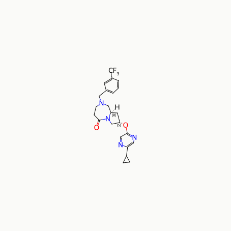 O=C1CCN(Cc2cccc(C(F)(F)F)c2)C[C@H]2C[C@H](Oc3cnc(C4CC4)cn3)CN12